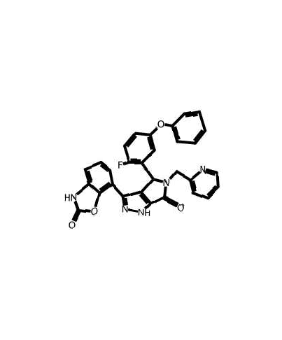 O=C1c2[nH]nc(-c3cccc4[nH]c(=O)oc34)c2C(c2cc(Oc3ccccc3)ccc2F)N1Cc1ccccn1